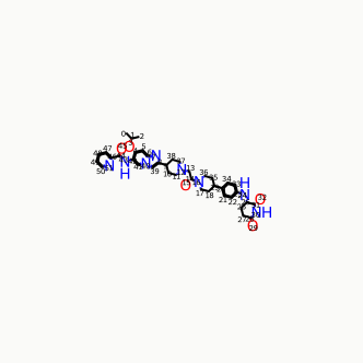 CC(C)Oc1cc2nc(C3CCN(CC(=O)N4CCC(c5ccc(NC6CCC(=O)NC6=O)cc5)CC4)CC3)cn2cc1NC(=O)c1ccccn1